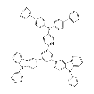 c1ccc(-c2ccc(N(c3ccc(-c4ccccc4)cc3)c3ccc(-c4cc(-c5ccc6c(c5)c5ccccc5n6-c5ccccc5)cc(-c5ccc6c(c5)c5ccccc5n6-c5ccccc5)c4)nc3)cc2)cc1